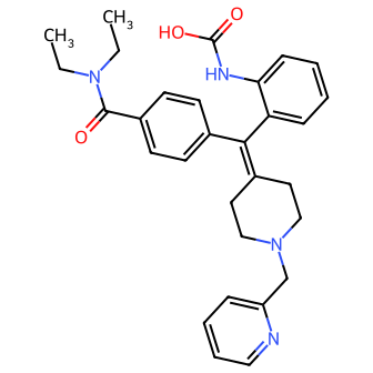 CCN(CC)C(=O)c1ccc(C(=C2CCN(Cc3ccccn3)CC2)c2ccccc2NC(=O)O)cc1